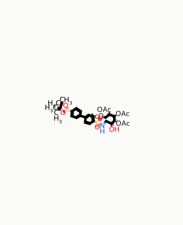 CC(=O)OC[C@@H](OC(C)=O)[C@@H](OC(C)=O)[C@H](OC(C)=O)[C@@H](O)CNS(=O)(=O)c1ccc(-c2ccc(B3OC(C)(C)C(C)(C)O3)cc2)cc1